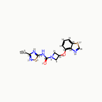 CC(C)(C)c1nsc(NC(=O)N2CC(Oc3cccc4scnc34)C2)n1